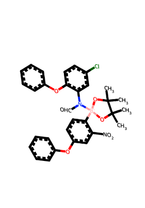 CC1(C)O[B-](c2ccc(Oc3ccccc3)cc2[N+](=O)[O-])(N(C=O)c2cc(Cl)ccc2Oc2ccccc2)OC1(C)C